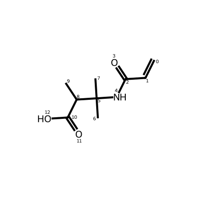 C=CC(=O)NC(C)(C)C(C)C(=O)O